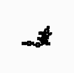 C[C@]12C[C@H](O)[C@@]3(F)[C@@H](C[C@H](F)C4=CC(=O)C=C[C@@]43C)[C@]1(C)C[C@H]1CN(Cc3ccc(CSc4ccc(O)cc4)cc3)O[C@]12C(=O)CO